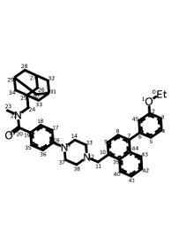 CCOc1cccc(-c2ccc(CN3CCN(c4ccc(C(=O)N(C)CC56CC7CC(CC(C7)C5)C6)cc4)CC3)c3ccccc23)c1